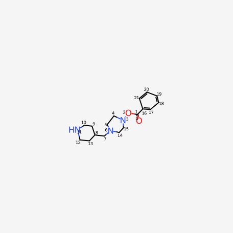 O=C(ON1CCN(CC2CCNCC2)CC1)c1ccccc1